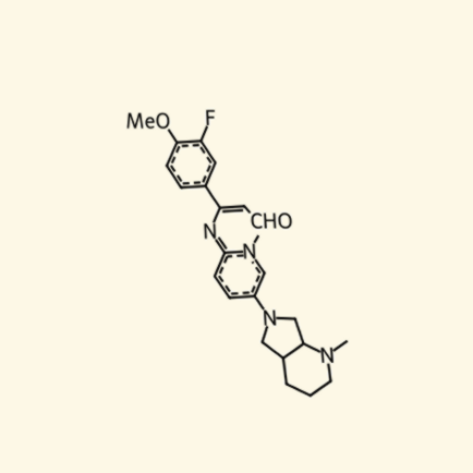 COc1ccc(C(=C/C=O)/N=c2/ccc(N3CC4CCCN(C)C4C3)cn2C)cc1F